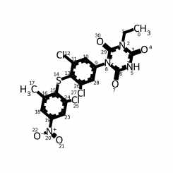 CCn1c(=O)[nH]c(=O)n(-c2cc(Cl)c(Sc3c(C)cc([N+](=O)[O-])cc3Cl)c(Cl)c2)c1=O